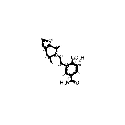 CC1Cc2ccsc2C(C)N1CCc1cc(C(N)=O)ccc1C(=O)O